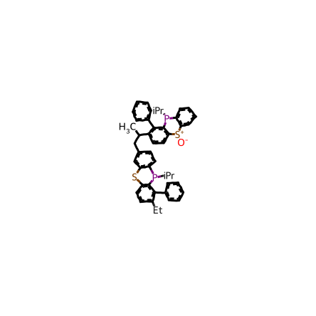 CCc1ccc2c(c1-c1ccccc1)P(C(C)C)c1ccc(CC(C)c3ccc4c(c3-c3ccccc3)P(C(C)C)c3ccccc3[S+]4[O-])cc1S2